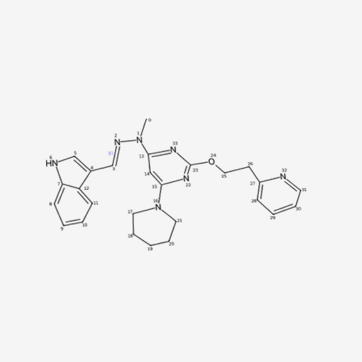 CN(/N=C/c1c[nH]c2ccccc12)c1cc(N2CCCCC2)nc(OCCc2ccccn2)n1